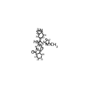 Cc1csc(-c2nc(CN3C(=O)c4ccccc4C3=O)[nH]c2-c2ccc3ncsc3c2)n1